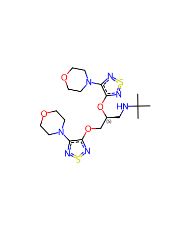 CC(C)(C)NC[C@@H](COc1nsnc1N1CCOCC1)Oc1nsnc1N1CCOCC1